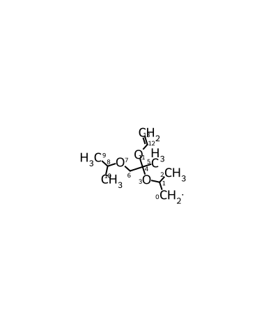 [CH2]C(C)OC(C)(COC(C)C)OC=C